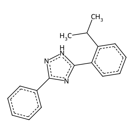 CC(C)c1ccccc1-c1nc(-c2ccccc2)n[nH]1